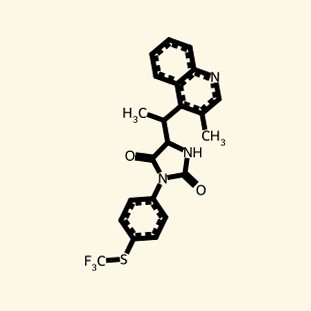 Cc1cnc2ccccc2c1C(C)C1NC(=O)N(c2ccc(SC(F)(F)F)cc2)C1=O